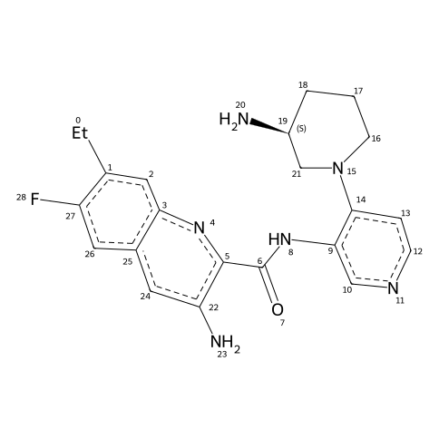 CCc1cc2nc(C(=O)Nc3cnccc3N3CCC[C@H](N)C3)c(N)cc2cc1F